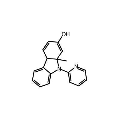 CC12C=C(O)C=CC1c1ccccc1N2c1ccccn1